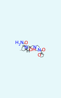 NC(=O)[C@]12C[CH]C[C@H](CC1)N2C[C@H](O)CN1CCN(C(=O)[C@H]2CCCO2)CC1